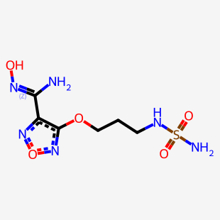 N/C(=N\O)c1nonc1OCCCNS(N)(=O)=O